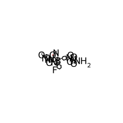 COc1ccc(-n2c(=O)c3c(CN(C)C)c(-c4ccc(N(OC)C(=O)N(OC)C(N)=O)cc4)sc3n(Cc3c(F)cccc3F)c2=O)nn1